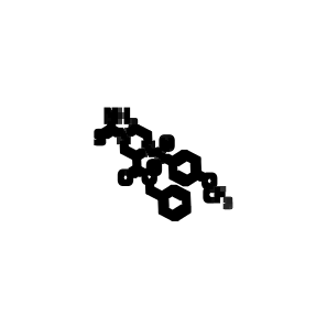 NC(=S)N1CCN(S(=O)(=O)c2ccc(OC(F)(F)F)cc2)C(C(=O)OCc2ccccc2)C1